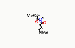 CNCCCC(=O)N(C)C(=O)COC